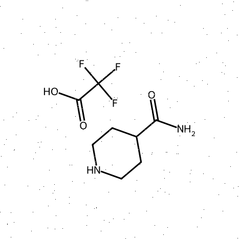 NC(=O)C1CCNCC1.O=C(O)C(F)(F)F